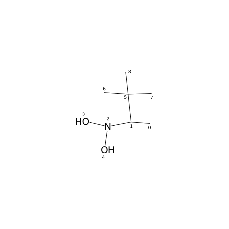 CC(N(O)O)C(C)(C)C